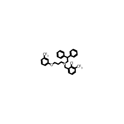 FC(F)(F)c1cccc(OCCCN(Cc2cccc(C(F)(F)F)c2Cl)CC(c2ccccc2)c2ccccc2)c1